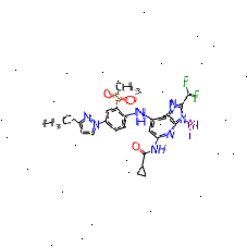 Cc1ccn(-c2ccc(Nc3cc(NC(=O)C4CC4)nc4c3nc(C(F)F)n4PI)c(S(C)(=O)=O)c2)n1